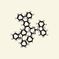 c1ccc(-c2nc(-c3cc4c5ccccc5c5ccccc5c4cc3-c3ccc4c(c3)c3ccccc3n4-c3ccccc3)nc(-n3c4ccccc4c4ccccc43)n2)cc1